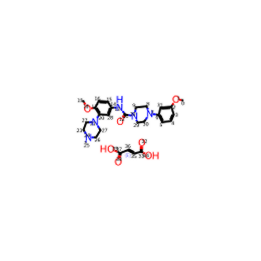 COc1cccc(N2CCN(C(=O)Nc3ccc(OC)c(N4CCN(C)CC4)c3)CC2)c1.O=C(O)/C=C/C(=O)O